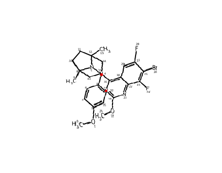 COc1ccc(CN2C3(C)CCC2(C)CN(c2nc(OC)nc4c(F)c(Br)c(F)cc24)C3)cc1